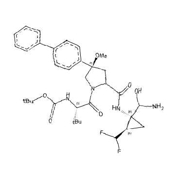 CO[C@@]1(c2ccc(-c3ccccc3)cc2)CC(C(=O)N[C@]2(C(N)O)C[C@H]2C(F)F)N(C(=O)[C@@H](NC(=O)OC(C)(C)C)C(C)(C)C)C1